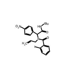 C=CCN(C(=O)c1ccccc1I)C(C(=O)NC(C)(C)C)c1ccc([N+](=O)[O-])cc1